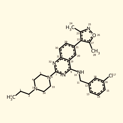 CCCN1CCN(c2nc(NCc3cccc(Cl)c3)c3cc(-c4c(C)noc4C)ccc3n2)CC1